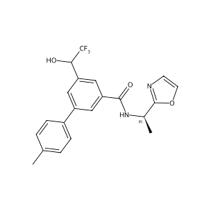 Cc1ccc(-c2cc(C(=O)N[C@H](C)c3ncco3)cc(C(O)C(F)(F)F)c2)cc1